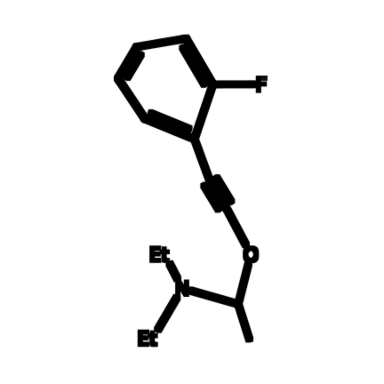 CCN(CC)C(C)OC#Cc1ccccc1F